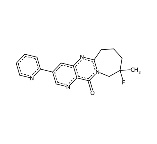 CC1(F)CCCc2nc3cc(-c4ccccn4)cnc3c(=O)n2C1